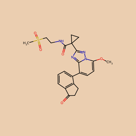 COc1ccc(-c2cccc3c2CCC3=O)c2nc(C3(C(=O)NCCS(C)(=O)=O)CC3)nn12